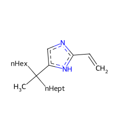 C=Cc1ncc(C(C)(CCCCCC)CCCCCCC)[nH]1